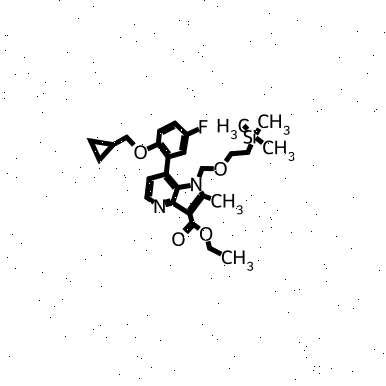 CCOC(=O)c1c(C)n(COCC[Si](C)(C)C)c2c(-c3cc(F)ccc3OCC3CC3)ccnc12